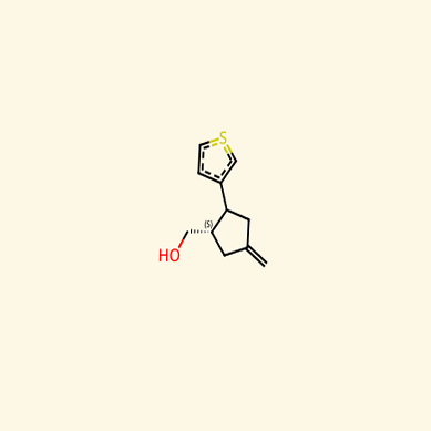 C=C1CC(c2ccsc2)[C@@H](CO)C1